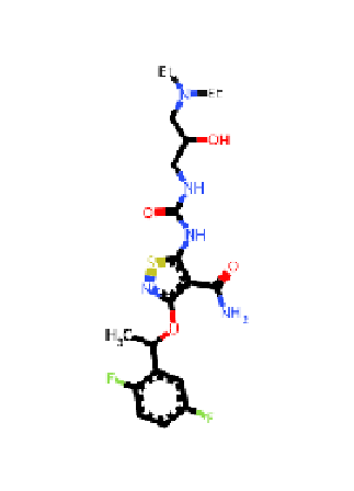 CCN(CC)CC(O)CNC(=O)Nc1snc(OC(C)c2cc(F)ccc2F)c1C(N)=O